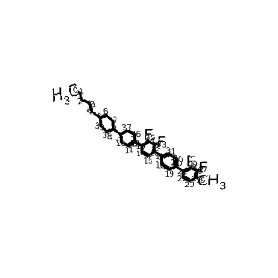 CCCCCC1CCC(C2CC=C(c3ccc(-c4ccc(-c5ccc(C)c(F)c5F)cc4)c(F)c3F)CC2)CC1